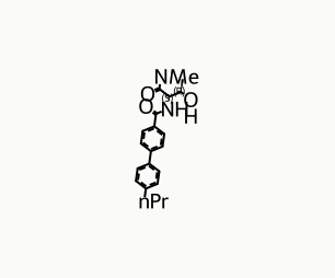 CCCc1ccc(-c2ccc(C(=O)N[C@H](C(=O)NC)[C@@H](C)O)cc2)cc1